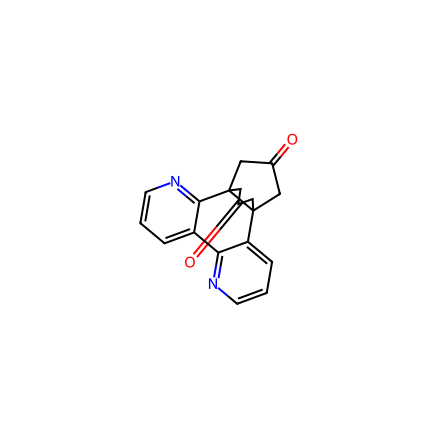 O=C1CC23CC(=O)CC2(C1)c1ncccc1-c1ncccc13